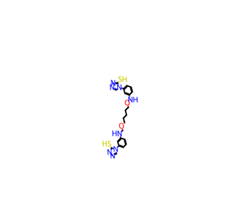 Sc1nncn1-c1cccc(NCOCCCCCONc2cccc(-n3cnnc3S)c2)c1